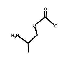 CC(N)COC(=O)Cl